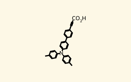 Cc1ccc(N(c2ccc(C)cc2)c2ccc(-c3ccc(C#CC(=O)O)cc3)cc2)cc1